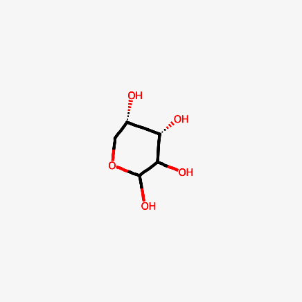 OC1OC[C@H](O)[C@H](O)C1O